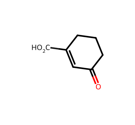 O=C1C=C(C(=O)O)CCC1